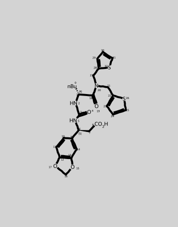 CCCC[C@@H](NC(=O)N[C@@H](CC(=O)O)c1ccc2c(c1)OCO2)C(=O)N(Cc1cccs1)Cc1cccs1